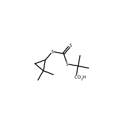 CC(C)(SC(=S)SC1CC1(C)C)C(=O)O